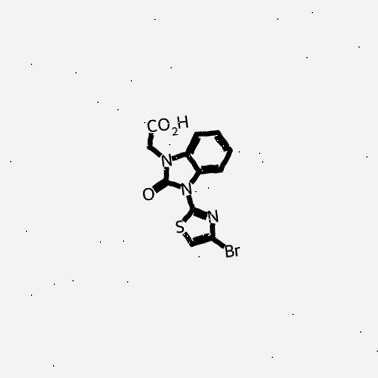 O=C(O)Cn1c(=O)n(-c2nc(Br)cs2)c2ccccc21